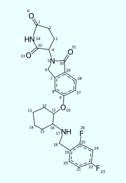 O=C1CCC(N2Cc3cc(OC4CCCCC4NCc4ccc(F)cc4F)ccc3C2=O)C(=O)N1